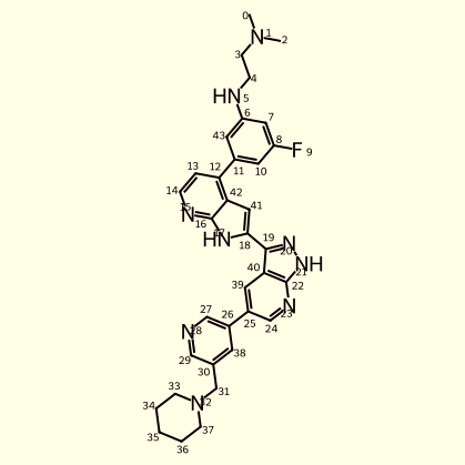 CN(C)CCNc1cc(F)cc(-c2ccnc3[nH]c(-c4n[nH]c5ncc(-c6cncc(CN7CCCCC7)c6)cc45)cc23)c1